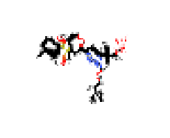 Cc1cccc(S(=O)(=O)C2(C)CCOC(c3cc(C(C)(C)CO)n(COCC[Si](C)(C)C)n3)C2)c1